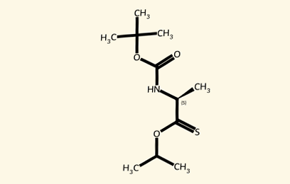 CC(C)OC(=S)[C@H](C)NC(=O)OC(C)(C)C